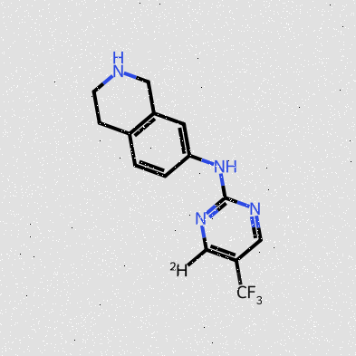 [2H]c1nc(Nc2ccc3c(c2)CNCC3)ncc1C(F)(F)F